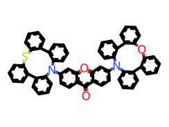 O=c1c2ccc(N3c4ccccc4-c4ccccc4Oc4ccccc4-c4ccccc43)cc2oc2cc(N3c4ccccc4-c4ccccc4Sc4ccccc4-c4ccccc43)ccc12